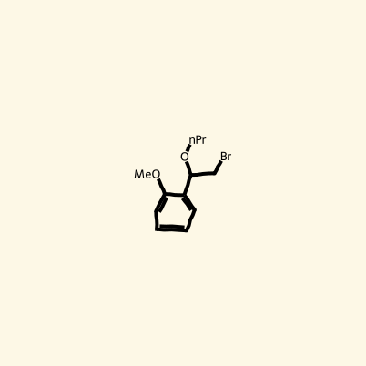 CCCOC(CBr)c1ccccc1OC